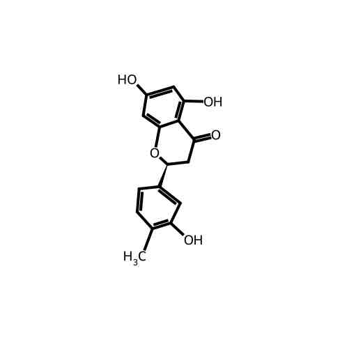 Cc1ccc([C@@H]2CC(=O)c3c(O)cc(O)cc3O2)cc1O